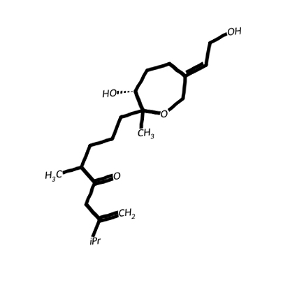 C=C(CC(=O)C(C)CCCC1(C)OC/C(=C/CO)CC[C@H]1O)C(C)C